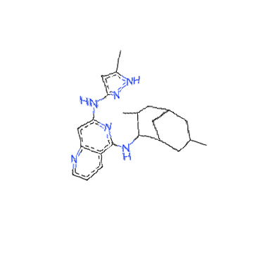 Cc1cc(Nc2cc3ncccc3c(NC3C(C)CC4CC(C)CC3C4)n2)n[nH]1